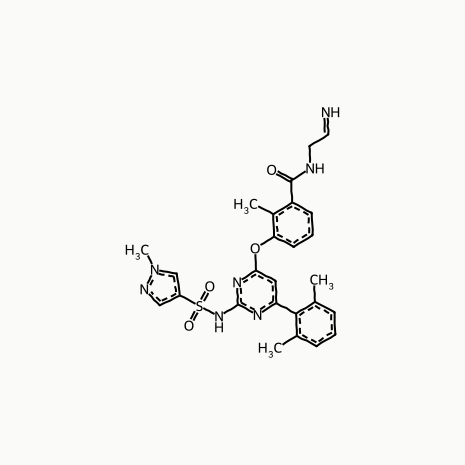 Cc1cccc(C)c1-c1cc(Oc2cccc(C(=O)NCC=N)c2C)nc(NS(=O)(=O)c2cnn(C)c2)n1